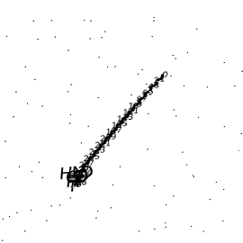 CCCCCCCCCCCCCCCCCCCCCCCCCCCCCC(=O)NS(=O)(=O)C(F)(F)F